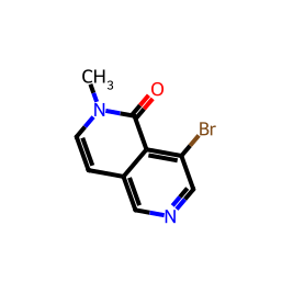 Cn1ccc2cncc(Br)c2c1=O